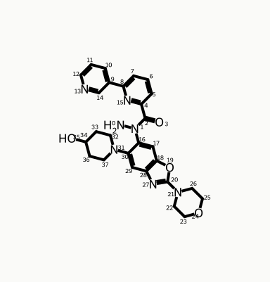 NN(C(=O)c1cccc(-c2cccnc2)n1)c1cc2oc(N3CCOCC3)nc2cc1N1CCC(O)CC1